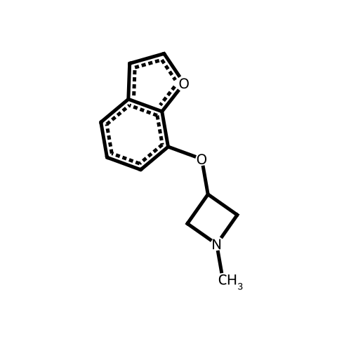 CN1CC(Oc2cccc3ccoc23)C1